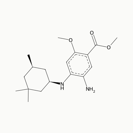 COC(=O)c1cc(N)c(N[C@@H]2C[C@H](C)CC(C)(C)C2)cc1OC